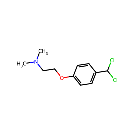 CN(C)CCOc1ccc(C(Cl)Cl)cc1